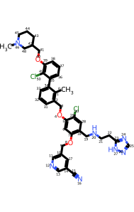 Cc1c(COc2cc(OCc3cncc(C#N)c3)c(CNCCc3ncn[nH]3)cc2Cl)cccc1-c1cccc(OCC2CCCN(C)C2)c1Cl